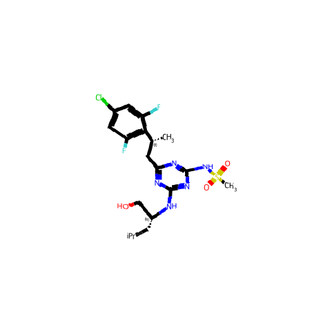 CC(C)C[C@H](CO)Nc1nc(C[C@@H](C)c2c(F)cc(Cl)cc2F)nc(NS(C)(=O)=O)n1